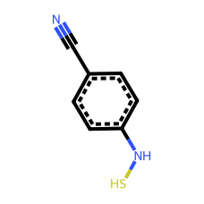 N#Cc1ccc(NS)cc1